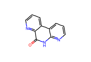 O=c1[nH]c2ncccc2c2cccnc12